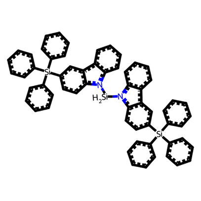 c1ccc([Si](c2ccccc2)(c2ccccc2)c2ccc3c(c2)c2ccccc2n3[SiH2]n2c3ccccc3c3cc([Si](c4ccccc4)(c4ccccc4)c4ccccc4)ccc32)cc1